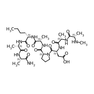 CCCC[C@H](NC(=O)[C@H](C)NC(=O)[C@@H]1CCCN1C(=O)[C@H](CC(=O)O)NC(=O)[C@H](C)NC(=O)[C@H](C)NC)C(=O)N[C@@H](C)C(=O)N[C@@H](C)C(N)=O